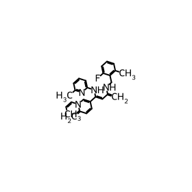 C=C(/C=C(\Nc1cccc(C)n1)C1=CN(/C=C\C)C(=C)C=C1)NCc1c(C)cccc1F